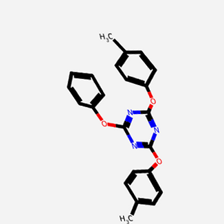 Cc1ccc(Oc2nc(Oc3ccccc3)nc(Oc3ccc(C)cc3)n2)cc1